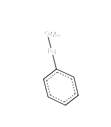 C[O][Pd][c]1ccccc1